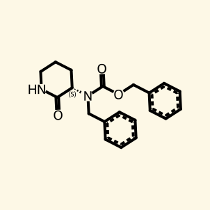 O=C1NCCC[C@@H]1N(Cc1ccccc1)C(=O)OCc1ccccc1